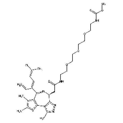 C=C/C(=C\C=C(/C)Cl)C1=N[C@@H](CC(=O)NCCOCCOCCOCCNC(=O)OC(C)(C)C)c2nnc(C)n2-c2sc(C)c(C)c21